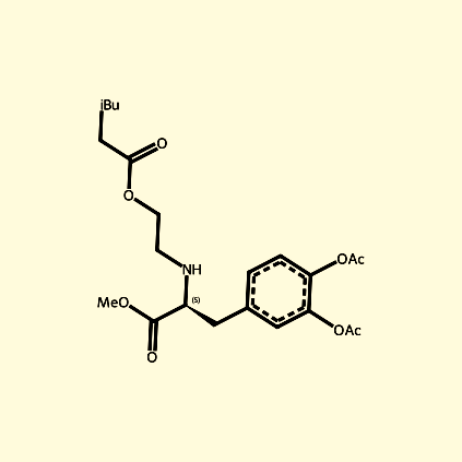 CCC(C)CC(=O)OCCN[C@@H](Cc1ccc(OC(C)=O)c(OC(C)=O)c1)C(=O)OC